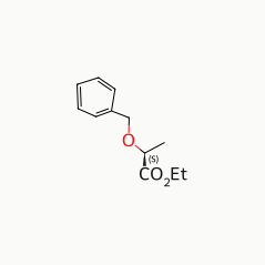 CCOC(=O)[C@H](C)OCc1ccccc1